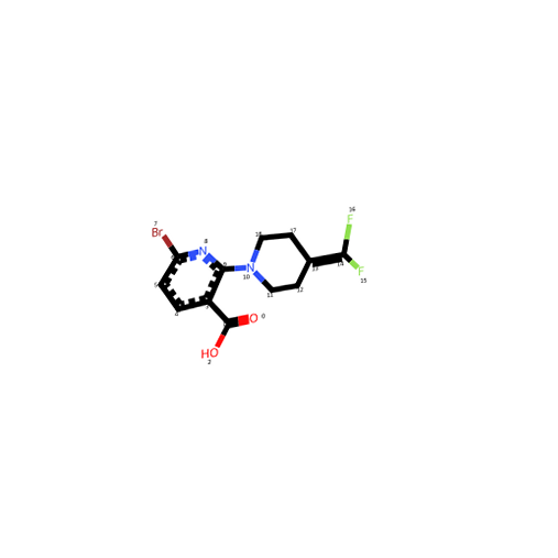 O=C(O)c1ccc(Br)nc1N1CCC(=C(F)F)CC1